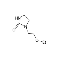 CCOCCN1CCNC1=O